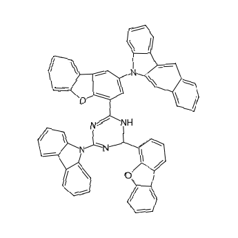 c1ccc2cc3c(cc2c1)c1ccccc1n3-c1cc(C2=NC(n3c4ccccc4c4ccccc43)=NC(c3cccc4c3oc3ccccc34)N2)c2oc3ccccc3c2c1